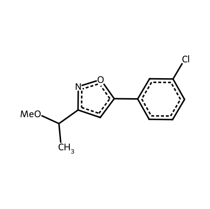 COC(C)c1cc(-c2cccc(Cl)c2)on1